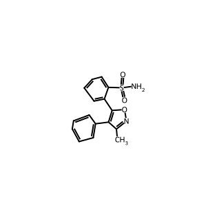 Cc1noc(-c2ccccc2S(N)(=O)=O)c1-c1ccccc1